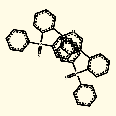 S=P(c1ccccc1)(c1ccccc1)c1ccccc1-c1cnc(-c2ccccc2P(=S)(c2ccccc2)c2ccccc2)cn1